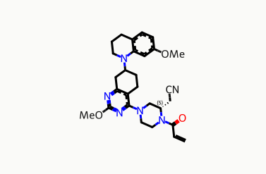 C=CC(=O)N1CCN(c2nc(OC)nc3c2CCC(N2CCCc4ccc(OC)cc42)C3)C[C@@H]1CC#N